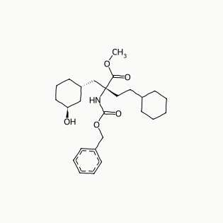 COC(=O)[C@@](CCC1CCCCC1)(C[C@H]1CCC[C@H](O)C1)NC(=O)OCc1ccccc1